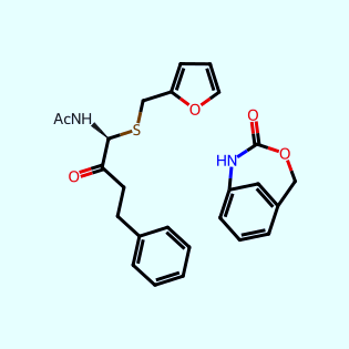 CC(=O)N[C@@H](SCc1ccco1)C(=O)CCc1ccccc1.O=C1Nc2cccc(c2)CO1